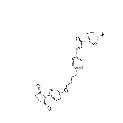 O=C(C=Cc1ccc(CCCCOc2ccc(N3C(=O)C=CC3=O)cc2)cc1)c1ccc(F)cc1